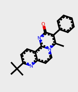 Cc1c(-c2ccccc2)c(=O)nc2c3ccc(C(C)(C)C)nc3ccn12